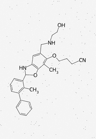 Cc1c(-c2ccccc2)cccc1C1Nc2cc(CNCCO)c(OCCCC#N)c(C)c2O1